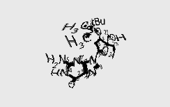 CC(C)(C)[Si](C)(C)O[C@H]1C[C@H](n2cnc3c(=O)[nH]c(N)nc32)O[C@@]1(CO)CI